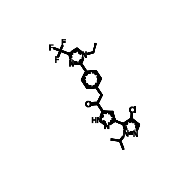 CCn1cc(C(F)(F)F)nc1-c1ccc(CC(=O)c2cc(-c3c(Cl)cnn3C(C)C)n[nH]2)cc1